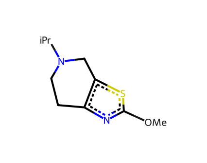 COc1nc2c(s1)CN(C(C)C)CC2